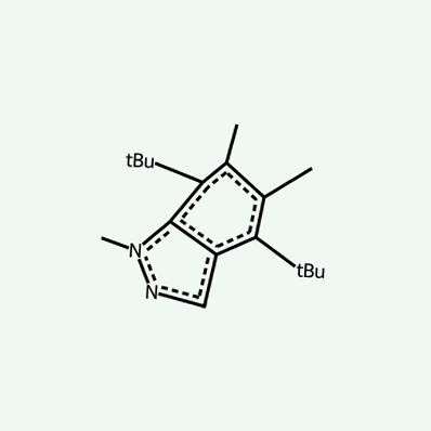 Cc1c(C)c(C(C)(C)C)c2c(cnn2C)c1C(C)(C)C